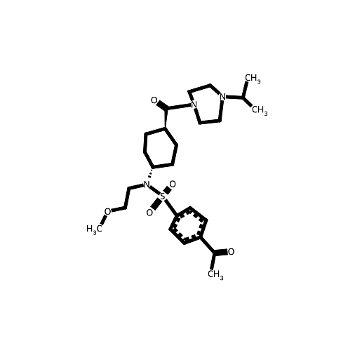 COCCN([C@H]1CC[C@H](C(=O)N2CCN(C(C)C)CC2)CC1)S(=O)(=O)c1ccc(C(C)=O)cc1